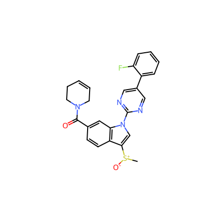 C[S+]([O-])c1cn(-c2ncc(-c3ccccc3F)cn2)c2cc(C(=O)N3CC=CCC3)ccc12